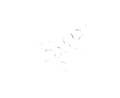 CCC(=O)c1c(O)c(C(=O)CC)c2oc(C)c(-c3ccc(O)cc3)c(=O)c2c1O